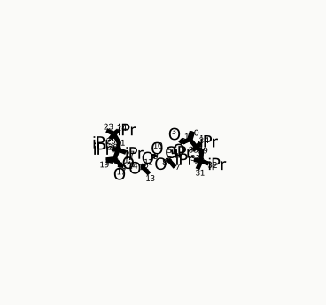 C=C(C(=O)OOC(C)OC(=O)OC(C)OOC(=O)C(=C)C(CC(C)(C(C)C)C(C)C)(C(C)C)C(C)C)C(CC(C)(C(C)C)C(C)C)(C(C)C)C(C)C